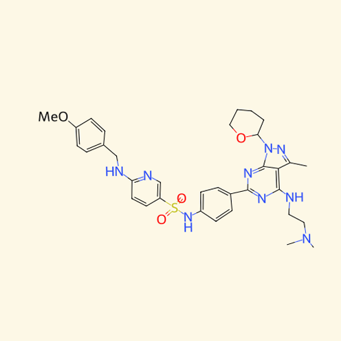 COc1ccc(CNc2ccc(S(=O)(=O)Nc3ccc(-c4nc(NCCN(C)C)c5c(C)nn(C6CCCCO6)c5n4)cc3)cn2)cc1